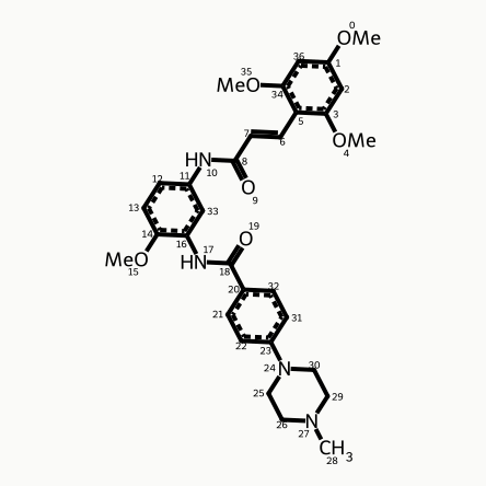 COc1cc(OC)c(C=CC(=O)Nc2ccc(OC)c(NC(=O)c3ccc(N4CCN(C)CC4)cc3)c2)c(OC)c1